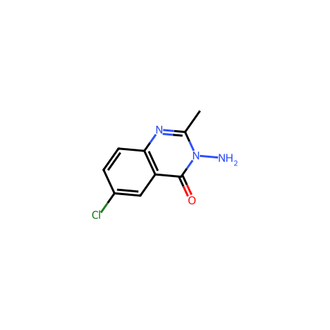 Cc1nc2ccc(Cl)cc2c(=O)n1N